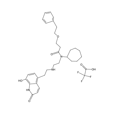 O=C(CCOCCc1ccccc1)N(CCNCCc1ccc(O)c2[nH]c(=O)ccc12)C1CCCCCC1.O=C(O)C(F)(F)F